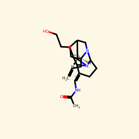 C=CC[C@H]1C2CC3CN1C1CC/C(=C\NC(C)=O)C2N1[C@@H]3CCCCO